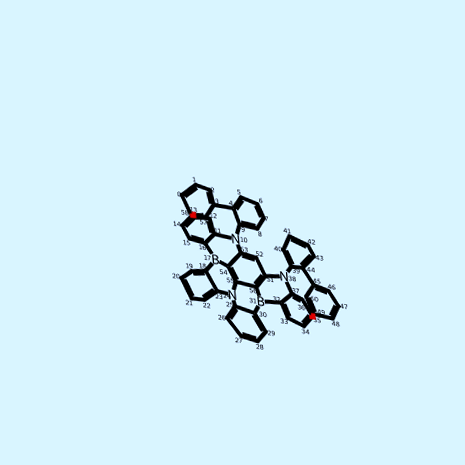 c1ccc(-c2ccccc2N2c3ccccc3B3c4ccccc4N4c5ccccc5B5c6ccccc6N(c6ccccc6-c6ccccc6)c6cc2c3c4c65)cc1